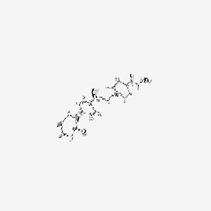 CC(C)(C)SNC1CCC(CNc2ccc(N3CCCCC3=O)cc2)CC1